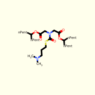 CCCCCC(CCCCC)OC(=O)CN(CC(=O)OC(CCCCC)CCCCC)C(=O)SCCCN(C)C